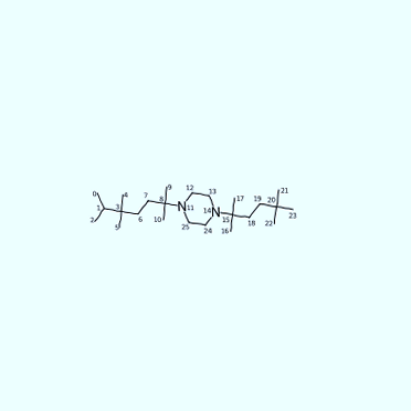 CC(C)C(C)(C)CCC(C)(C)N1CCN(C(C)(C)CCC(C)(C)C)CC1